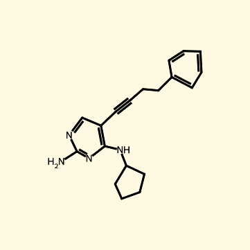 Nc1ncc(C#CCCc2ccccc2)c(NC2CCCC2)n1